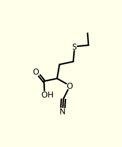 CCSCCC(OC#N)C(=O)O